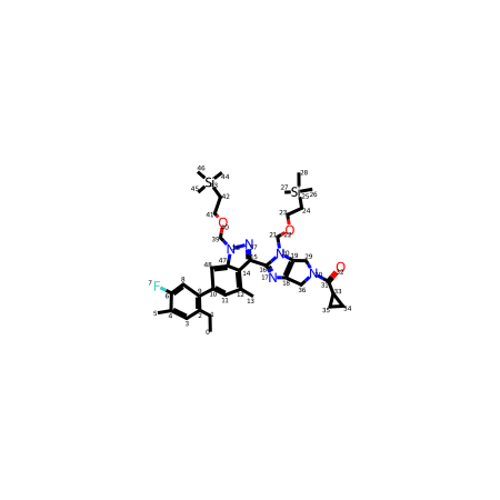 CCc1cc(C)c(F)cc1-c1cc(C)c2c(-c3nc4c(n3COCC[Si](C)(C)C)CN(C(=O)C3CC3)C4)nn(COCC[Si](C)(C)C)c2c1